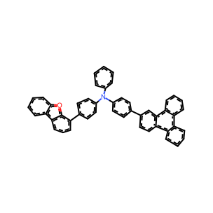 c1ccc(N(c2ccc(-c3ccc4c5ccccc5c5ccccc5c4c3)cc2)c2ccc(-c3cccc4c3oc3ccccc34)cc2)cc1